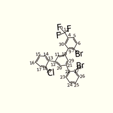 FC(F)(F)c1ccc(Br)c(-c2cc(-c3ccccc3Cl)cc(-c3ccccc3Br)c2)c1